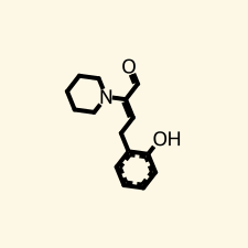 O=CC(=CCc1ccccc1O)N1CCCCC1